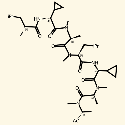 CC(=O)[C@@H](C)N(C)C(=O)[C@H](C)N(C)C(=O)[C@@H](NC(=O)[C@H](CC(C)C)N(C)C(=O)[C@H](C)N(C)C(=O)[C@H](NC(=O)[C@H](C)CC(C)C)C1CC1)C1CC1